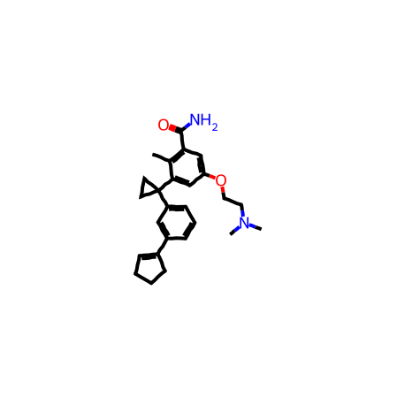 Cc1c(C(N)=O)cc(OCCN(C)C)cc1C1(c2cccc(C3=CCCC3)c2)CC1